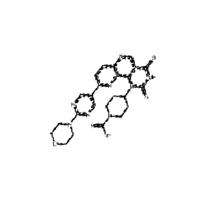 CC(C)C(=S)N1CCC(n2c(=O)[nH]c(=O)c3cnc4ccc(-c5cnc(N6CCOCC6)nc5)nc4c32)CC1